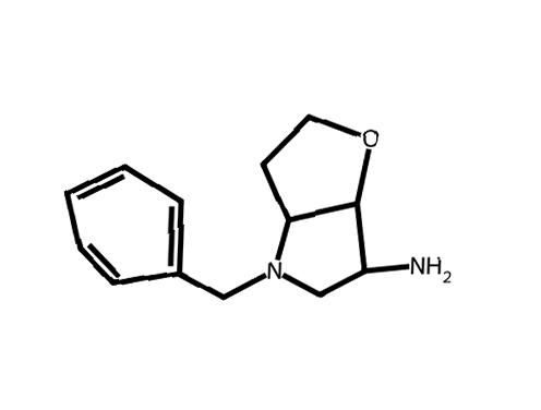 NC1CN(Cc2ccccc2)C2CCOC12